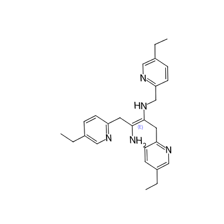 CCc1ccc(CN/C(Cc2ccc(CC)cn2)=C(/N)Cc2ccc(CC)cn2)nc1